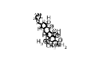 CN(C)[C@@H]1C(O)=C(C(N)=O)C(=O)[C@@]2(O)C(O)=C3C(=O)c4c(O)cc(Cn5ccnc5)c(F)c4C[C@H]3C[C@@H]12